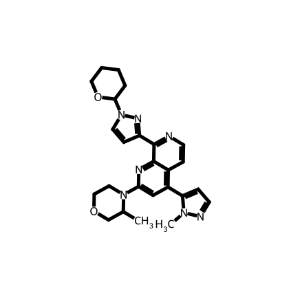 CC1COCCN1c1cc(-c2ccnn2C)c2ccnc(-c3ccn(C4CCCCO4)n3)c2n1